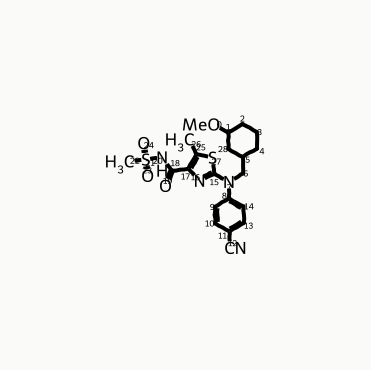 COC1CCCC(CN(c2ccc(C#N)cc2)c2nc(C(=O)NS(C)(=O)=O)c(C)s2)C1